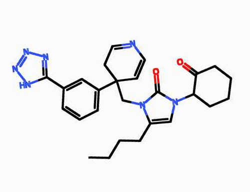 CCCCc1cn(C2CCCCC2=O)c(=O)n1CC1(c2cccc(-c3nnn[nH]3)c2)C=CN=CC1